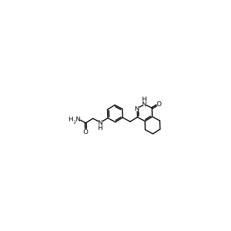 NC(=O)CNc1cccc(Cc2n[nH]c(=O)c3c2CCCC3)c1